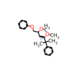 CO/C(=C\C(COc1ccccc1)OC)C(C)(C)c1ccccc1